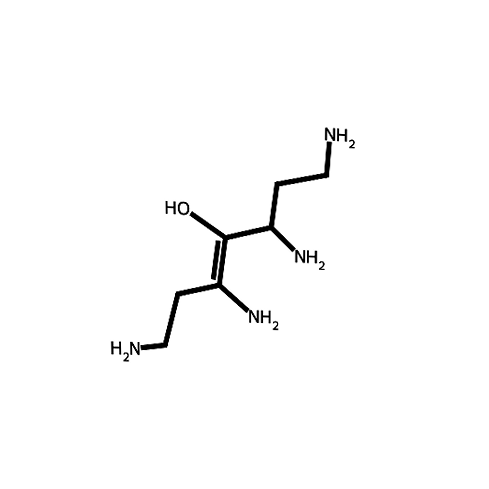 NCCC(N)=C(O)C(N)CCN